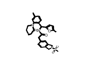 Cc1ccc(C(NC(=O)Cc2ccc3c(c2)CN(S(C)(=O)=O)C3)c2ccc(C)o2)c(N2CCCCC2)c1